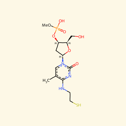 COP(=O)(O)O[C@@H]1C[C@H](n2cc(C)c(NCCS)nc2=O)O[C@@H]1CO